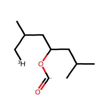 [3H]CC(C)CC(CC(C)C)O[C]=O